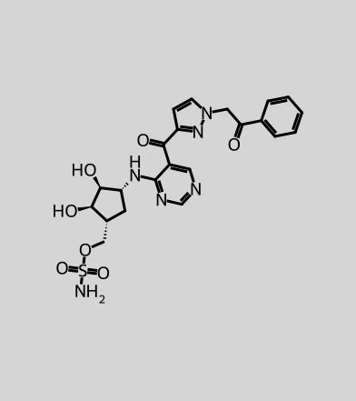 NS(=O)(=O)OC[C@H]1C[C@@H](Nc2ncncc2C(=O)c2ccn(CC(=O)c3ccccc3)n2)[C@H](O)[C@@H]1O